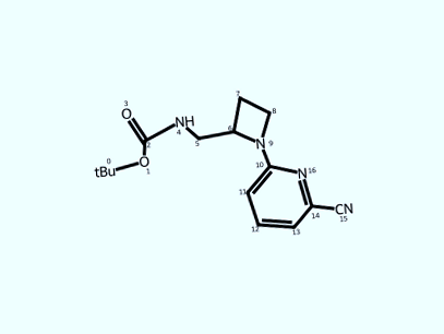 CC(C)(C)OC(=O)NCC1CCN1c1cccc(C#N)n1